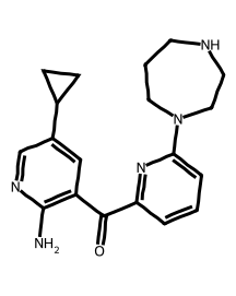 Nc1ncc(C2CC2)cc1C(=O)c1cccc(N2CCCNCC2)n1